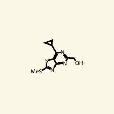 CSc1nc2nc(CO)nc(C3CC3)c2s1